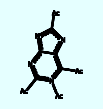 CC(=O)c1nc2nc(C(C)=O)n(C(C)=O)c(C(C)=O)c-2n1